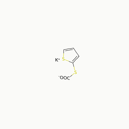 O=C([O-])Sc1cccs1.[K+]